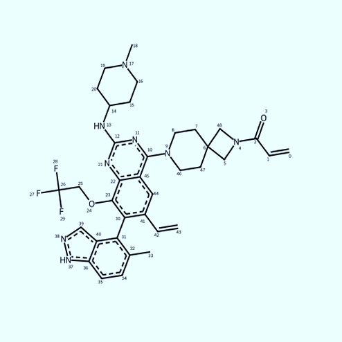 C=CC(=O)N1CC2(CCN(c3nc(NC4CCN(C)CC4)nc4c(OCC(F)(F)F)c(-c5c(C)ccc6[nH]ncc56)c(C=C)cc34)CC2)C1